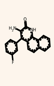 Nc1c(-c2cccc(F)c2)c2ccc3ccccc3c2[nH]c1=O